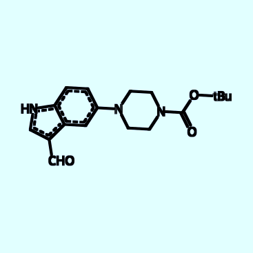 CC(C)(C)OC(=O)N1CCN(c2ccc3[nH]cc(C=O)c3c2)CC1